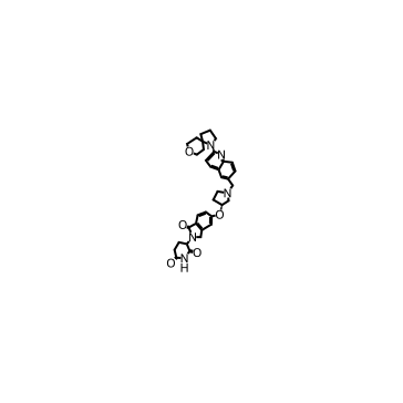 O=C1CCC(N2Cc3cc(O[C@H]4CCN(Cc5ccc6nc(N7CCCC78CCOCC8)ccc6c5)C4)ccc3C2=O)C(=O)N1